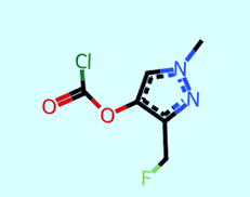 Cn1cc(OC(=O)Cl)c(CF)n1